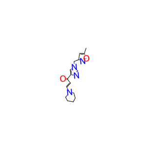 Cc1cc(Cn2cnc(C(=O)C=CN3CCCCC3)c2)no1